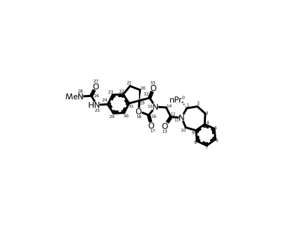 CCC[C@@H]1CCc2ccccc2CN1C(=O)CN1C(=O)O[C@@]2(CCc3cc(NC(=O)NC)ccc32)C1=O